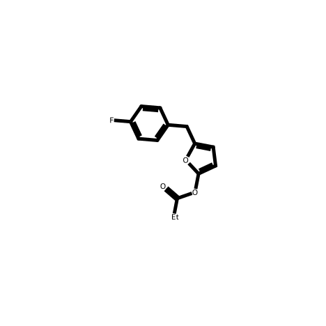 CCC(=O)Oc1ccc(Cc2ccc(F)cc2)o1